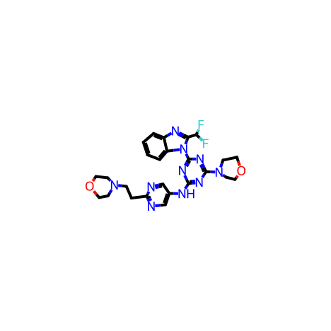 FC(F)c1nc2ccccc2n1-c1nc(Nc2cnc(CCN3CCOCC3)nc2)nc(N2CCOCC2)n1